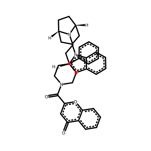 Cc1nc2ccccc2n1C1C[C@H]2CC[C@@H](C1)N2CCC1(c2ccccc2)CCN(C(=O)c2cc(=O)c3ccccc3o2)CC1